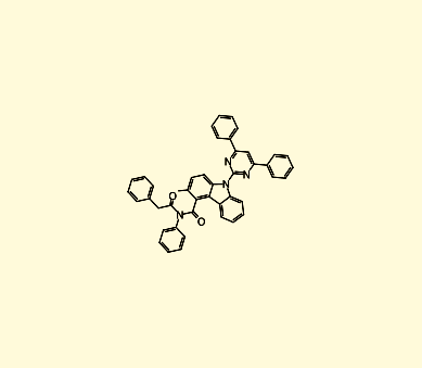 Cc1ccc2c(c1C(=O)N(C(=O)Cc1ccccc1)c1ccccc1)c1ccccc1n2-c1nc(-c2ccccc2)cc(-c2ccccc2)n1